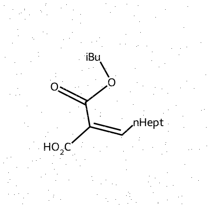 CCCCCCCC=C(C(=O)O)C(=O)OC(C)CC